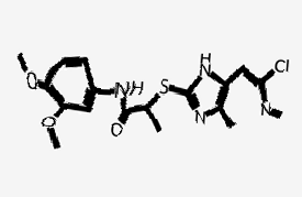 C=N/C(Cl)=C\c1[nH]c(SC(C)C(=O)Nc2ccc(OC)c(OC)c2)nc1C